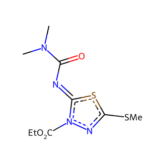 CCOC(=O)n1nc(SC)sc1=NC(=O)N(C)C